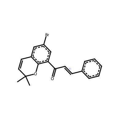 CC1(C)C=Cc2cc(Br)cc(C(=O)/C=C/c3ccccc3)c2O1